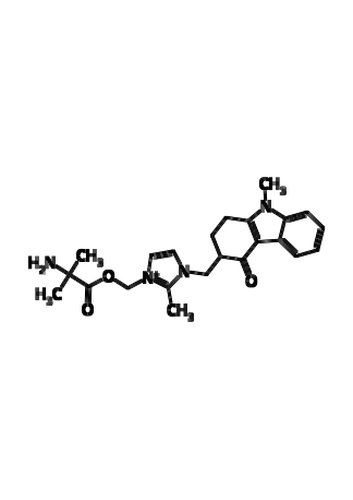 Cc1n(CC2CCc3c(c4ccccc4n3C)C2=O)cc[n+]1COC(=O)C(C)(C)N